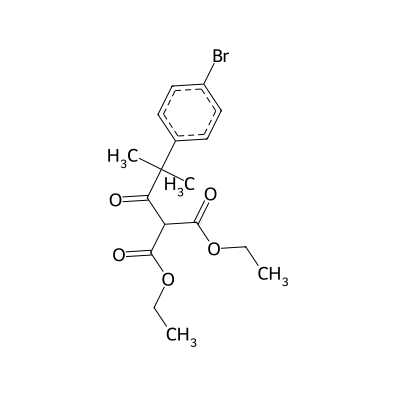 CCOC(=O)C(C(=O)OCC)C(=O)C(C)(C)c1ccc(Br)cc1